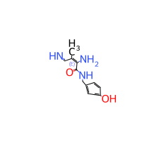 C/C(C=N)=C(\N)C(=O)NCc1ccc(O)cc1